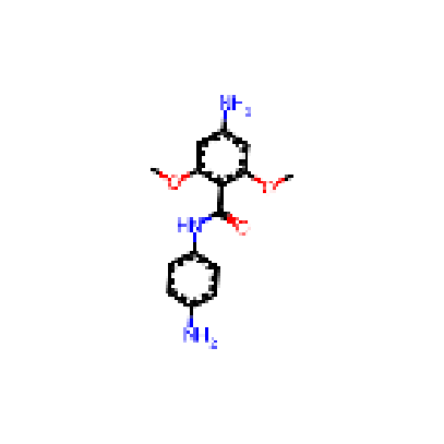 COc1cc(N)cc(OC)c1C(=O)Nc1ccc(N)cc1